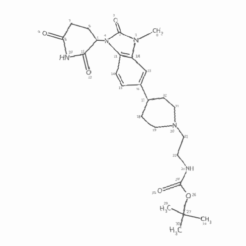 Cn1c(=O)n(C2CCC(=O)NC2=O)c2ccc(C3CCN(CCNC(=O)OC(C)(C)C)CC3)cc21